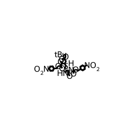 CC(C)(C)OC(=O)CC(SC[C@H]1NC(=O)[C@H]1NC(=O)OCc1ccc([N+](=O)[O-])cc1)C(=O)C(=O)OCc1ccc([N+](=O)[O-])cc1